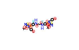 COc1ccc(CN(c2scnc2C(=O)OC(C)(C)C)S(=O)(=O)c2ccc(NC(=O)C=CC(=O)Nc3ccc(S(=O)(=O)N(Cc4ccc(OC)cc4)c4scnc4C(=O)OC(C)(C)C)cc3F)c(F)c2)cc1